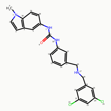 Cn1ccc2cc(NC(=O)Nc3cccc(CNCc4cc(Cl)cc(Cl)c4)c3)ccc21